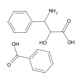 NC(c1ccccc1)C(O)C(=O)O.O=C(O)c1ccccc1